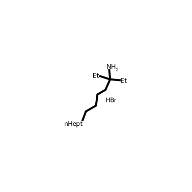 Br.CCCCCCCCCCCC(N)(CC)CC